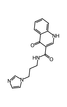 O=C(NCCCn1ccnc1)c1c[nH]c2ccccc2c1=O